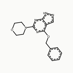 c1ccc(COc2nc(N3CCOCC3)nc3[nH]ncc23)cc1